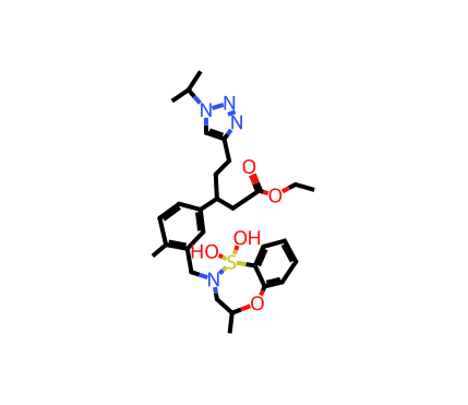 CCOC(=O)CC(CCc1cn(C(C)C)nn1)c1ccc(C)c(CN2CC(C)Oc3ccccc3S2(O)O)c1